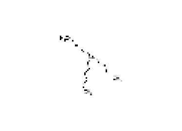 CCCCC[CH2][Ga]([CH2]CCCCC)[CH2]CCCCC